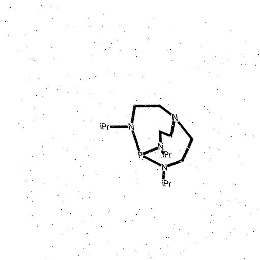 CC(C)N1CCN2CCN(C(C)C)P1N(C(C)C)CC2